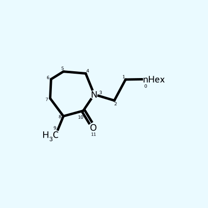 CCCCCCCCN1CCCCC(C)C1=O